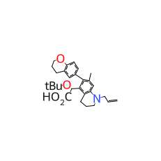 C=CCN1CCCc2c1cc(C)c(-c1ccc3c(c1)CCCO3)c2C(OC(C)(C)C)C(=O)O